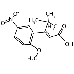 COc1ccc([N+](=O)[O-])cc1/C(=C/C(=O)O)C(C)(C)C